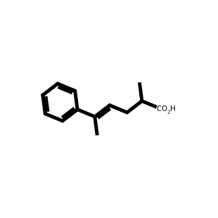 CC(=CCC(C)C(=O)O)c1ccccc1